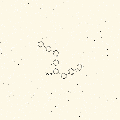 CNc1cc(-c2ccc(-c3cccc(-c4ccc(-c5ccccc5)cc4)c3)cc2)cc(-c2cccc(-c3ccc(-c4ccccc4)cc3)c2)c1